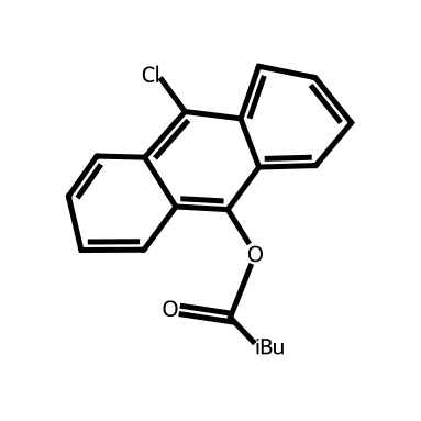 CCC(C)C(=O)Oc1c2ccccc2c(Cl)c2ccccc12